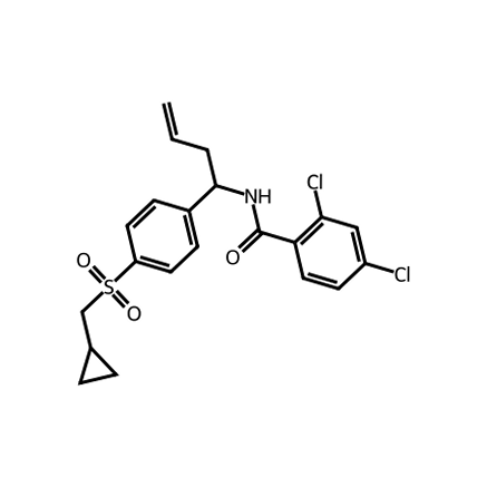 C=CCC(NC(=O)c1ccc(Cl)cc1Cl)c1ccc(S(=O)(=O)CC2CC2)cc1